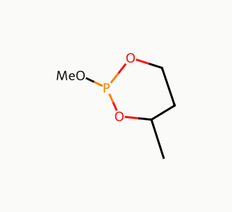 COP1OCCC(C)O1